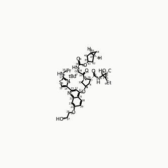 CCC1C[C@]1(NC(=O)[C@@H]1C[C@@H](Oc2cc(-c3csc(NC(C)C)n3)nc3cc(OCCO)ccc23)CN1C(=O)[C@@H](NC(=O)O[C@@H]1C[C@@H]2C[C@@H]2C1)C(C)(C)C)C(=O)O